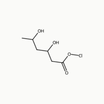 CC(O)CC(O)CC(=O)OCl